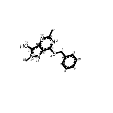 Cc1nc(SCc2ccccc2)c2nn(C)c(O)c2n1